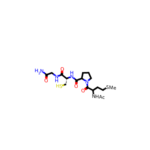 CSCCC(NC(C)=O)C(=O)N1CCCC1C(=O)N[C@H](CS)C(=O)NCC(N)=O